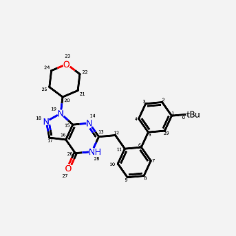 CC(C)(C)c1cccc(-c2ccccc2Cc2nc3c(cnn3C3CCOCC3)c(=O)[nH]2)c1